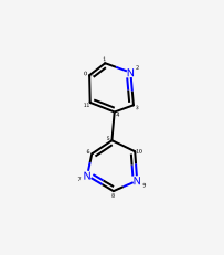 [c]1cncc(-c2cncnc2)c1